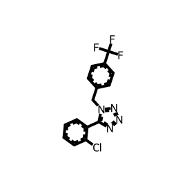 FC(F)(F)c1ccc(Cn2nnnc2-c2ccccc2Cl)cc1